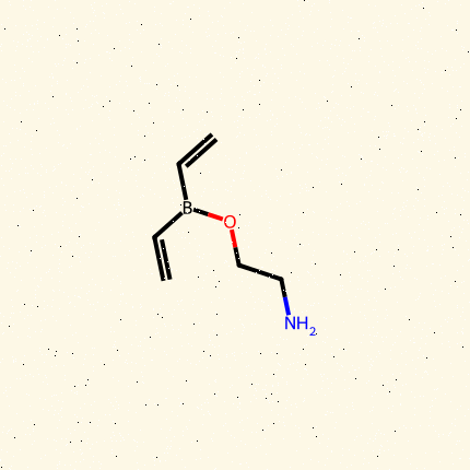 C=CB(C=C)OCCN